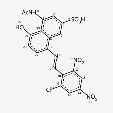 CC(=O)Nc1cc(S(=O)(=O)O)cc2c(N=Nc3c(Cl)cc([N+](=O)[O-])cc3[N+](=O)[O-])ccc(O)c12